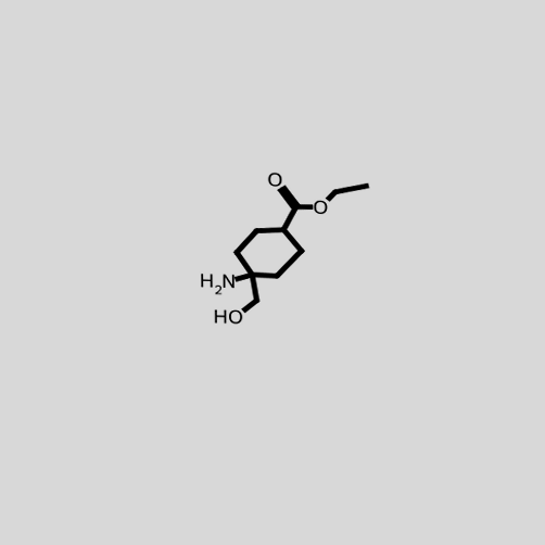 CCOC(=O)C1CCC(N)(CO)CC1